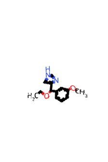 CCOC(c1cccc(OC)c1)c1c[nH]cn1